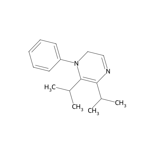 CC(C)C1=C(C(C)C)N(c2ccccc2)CC=N1